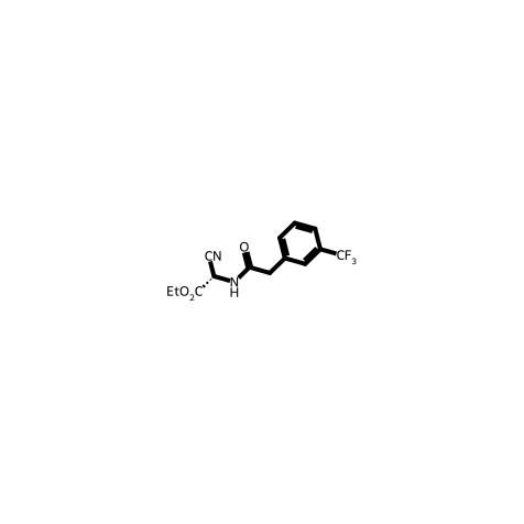 CCOC(=O)[C@H](C#N)NC(=O)Cc1cccc(C(F)(F)F)c1